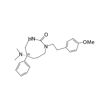 COc1ccc(CCN2CCC[C@](c3ccccc3)(N(C)C)CCNC2=O)cc1